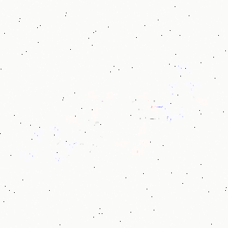 CO[C@H]1[C@H]2OP(=O)(O)OCC34C[C@@H]3[C@@H](n3cnc5c(N)ncnc53)[C@H](O)[C@@H]4O[PH](=O)OC[C@H]1O[C@H]2n1nnc2c(=O)[nH]c(N)nc21